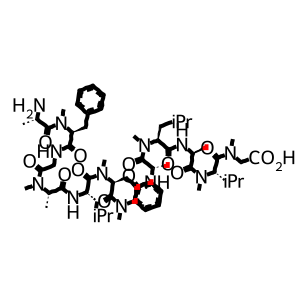 CC(C)C[C@H](NC(=O)[C@H](C)N(C)C(=O)CNC(=O)[C@H](Cc1ccccc1)N(C)C(=O)[C@H](C)N)C(=O)N(C)[C@@H](Cc1ccccc1)C(=O)N(C)[C@@H](C)C(=O)N[C@@H](C)C(=O)N(C)[C@@H](CC(C)C)C(=O)N[C@@H](C)C(=O)N(C)[C@H](C(=O)N(C)CC(=O)O)C(C)C